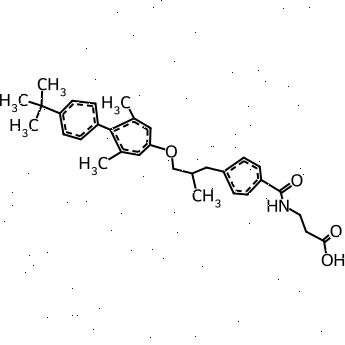 Cc1cc(OCC(C)Cc2ccc(C(=O)NCCC(=O)O)cc2)cc(C)c1-c1ccc(C(C)(C)C)cc1